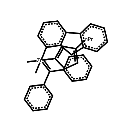 CCCC1=CC[C]([Zr]([CH3])([CH3])(=[C](c2ccccc2)c2ccccc2)[c]2cccc3c2Cc2ccccc2-3)=C1